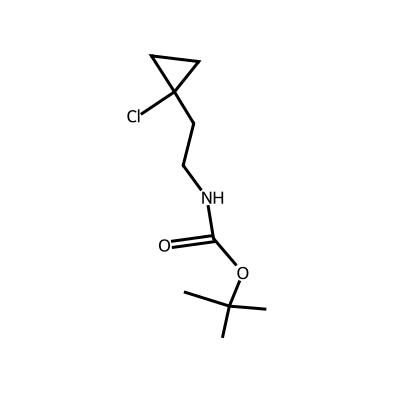 CC(C)(C)OC(=O)NCCC1(Cl)CC1